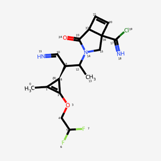 CC1=C(OCC(F)F)[C@@H]1C(C=N)C(C)N1CC2(C(=N)Cl)C=CC2C1=O